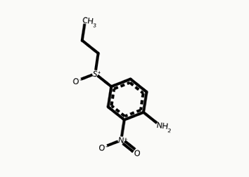 CCC[S+]([O-])c1ccc(N)c([N+](=O)[O-])c1